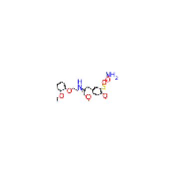 CCOc1ccccc1OCCN[C@H](COC)Cc1ccc(OC)c(SOON)c1